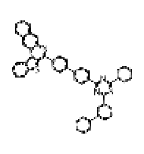 c1ccc(-c2cccc(-c3nc(-c4ccccc4)nc(-c4ccc(-c5ccc(-c6nc7cc8ccccc8cc7c7c6sc6ccccc67)cc5)cc4)n3)c2)cc1